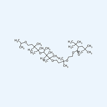 CC(C)OCCC(C)(C)C(C)(C)OC(C)C(C)(C)C(C)(C)OCCC(C)(C)OCCOC(=O)C(CC(C)(C)C)C(C)(C)C